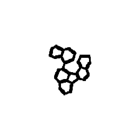 c1ccc2c(-c3ccc4cccc5c4c3-c3c-5ccc4ccccc34)cccc2c1